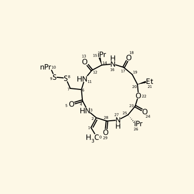 C/C=C1/NC(=O)C(CSSCCC)NC(=O)[C@@H](C(C)C)NC(=O)C[C@@H](CC)OC(=O)[C@H](C(C)C)NC1=O